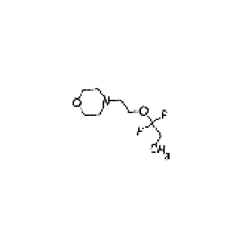 CCC(F)(F)OCCN1CCOCC1